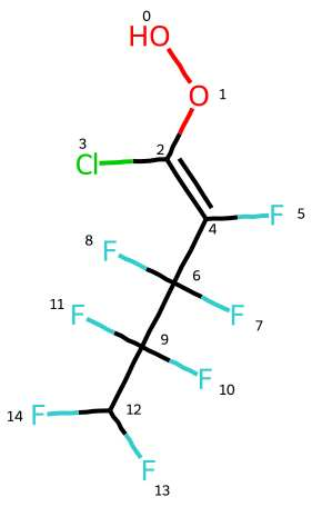 OO/C(Cl)=C(\F)C(F)(F)C(F)(F)C(F)F